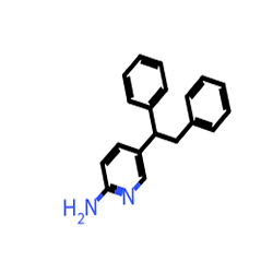 Nc1ccc(C(Cc2ccccc2)c2ccccc2)cn1